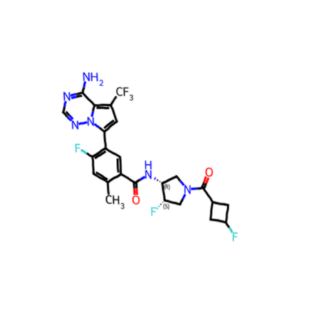 Cc1cc(F)c(-c2cc(C(F)(F)F)c3c(N)ncnn23)cc1C(=O)N[C@@H]1CN(C(=O)C2CC(F)C2)C[C@@H]1F